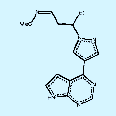 CCC(C/C=N\OC)n1cc(-c2ncnc3[nH]ccc23)cn1